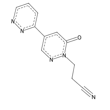 N#CCCn1ncc(-c2cccnn2)cc1=O